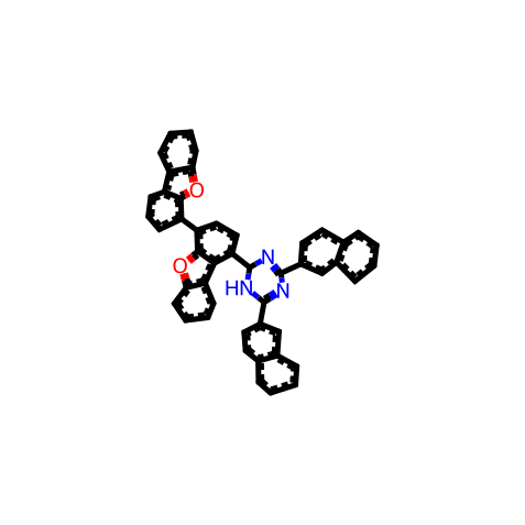 c1ccc2cc(C3=NC(c4ccc(-c5cccc6c5oc5ccccc56)c5oc6ccccc6c45)NC(c4ccc5ccccc5c4)=N3)ccc2c1